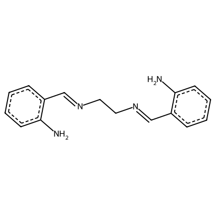 Nc1ccccc1/C=N/CC/N=C/c1ccccc1N